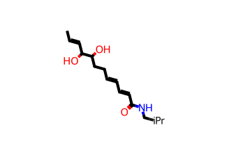 CC=CC(O)C(O)CCC=CC=CC(=O)NCC(C)C